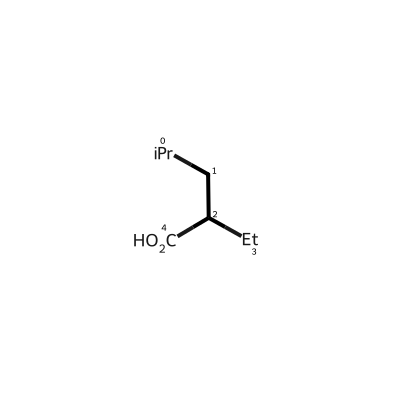 [CH2]C([CH2])CC(CC)C(=O)O